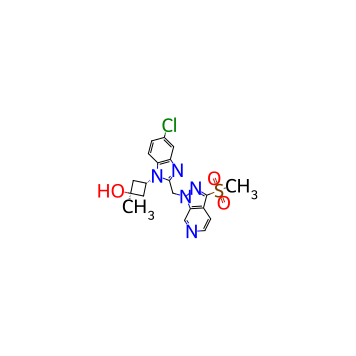 CS(=O)(=O)c1nn(Cc2nc3cc(Cl)ccc3n2[C@H]2C[C@](C)(O)C2)c2cnccc12